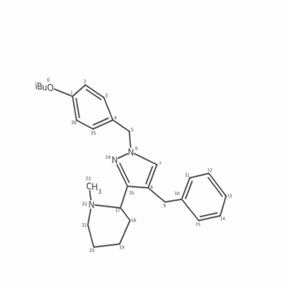 CC(C)COc1ccc(Cn2cc(Cc3ccccc3)c(C3CCCCN3C)n2)cc1